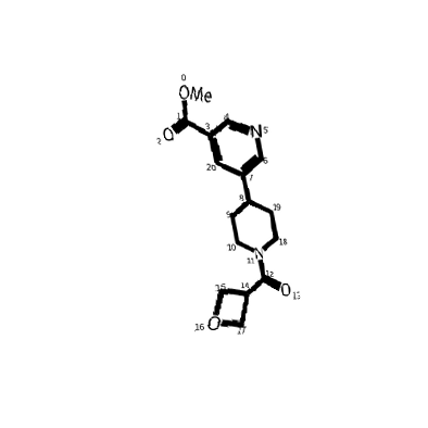 COC(=O)c1cncc(C2CCN(C(=O)C3COC3)CC2)c1